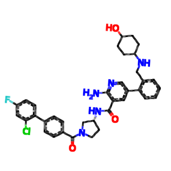 Nc1ncc(-c2ccccc2CNC2CCC(O)CC2)cc1C(=O)N[C@@H]1CCN(C(=O)c2ccc(-c3ccc(F)cc3Cl)cc2)C1